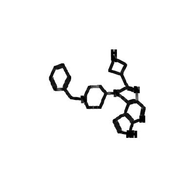 c1ccc(CN2CCC(n3c(C4CNC4)nc4cnc5[nH]ccc5c43)CC2)cc1